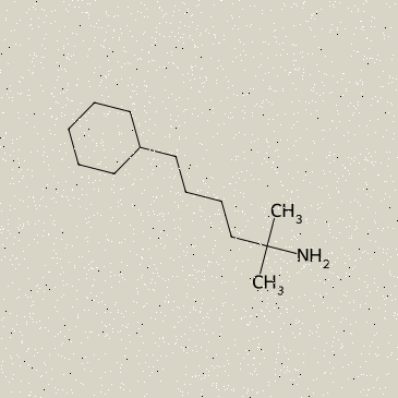 CC(C)(N)CCCCC1CCCCC1